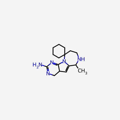 CC1NCCC2(CCCCC2)N2C1=CC1CN=C(N)N=C12